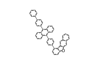 c1ccc(-c2ccc(-c3c4ccccc4c(-c4ccc(-c5cccc6oc7cc8ccccc8cc7c56)cc4)c4ccccc34)cc2)cc1